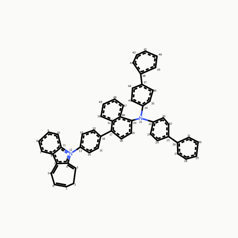 C1=CCC=c2c(c3ccccc3n2-c2ccc(-c3ccc(N(c4ccc(-c5ccccc5)cc4)c4ccc(-c5ccccc5)cc4)c4ccccc34)cc2)=C1